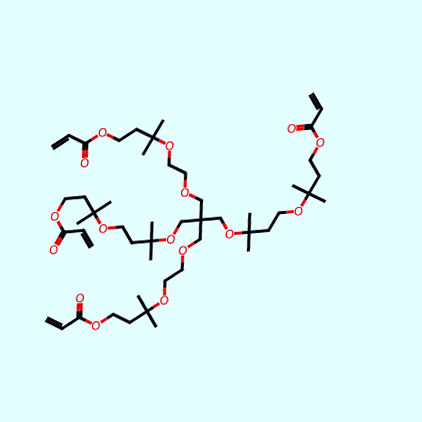 C=CC(=O)OCCC(C)(C)OCCOCC(COCCOC(C)(C)CCOC(=O)C=C)(COC(C)(C)CCOC(C)(C)CCOC(=O)C=C)COC(C)(C)CCOC(C)(C)CCOC(=O)C=C